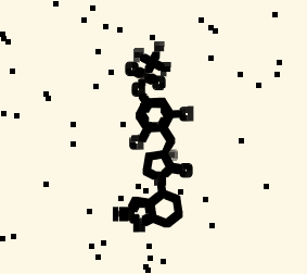 O=C1[C@H](Cc2c(Cl)cc(OS(=O)(=O)C(F)(F)F)cc2Cl)CCN1C1CCCc2n[nH]cc21